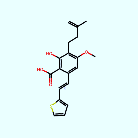 C=C(C)CCc1c(OC)cc(/C=C/c2cccs2)c(C(=O)O)c1O